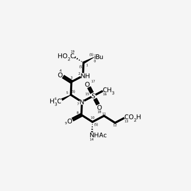 CC[C@H](C)[C@H](NC(=O)[C@H](C)N(C(=O)[C@H](CCC(=O)O)NC(C)=O)S(C)(=O)=O)C(=O)O